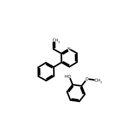 C=Cc1ncccc1-c1ccccc1.COc1ccccc1O